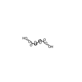 O=C(COCCO)c1ccc(-c2ccc(C(=O)COCCO)o2)o1